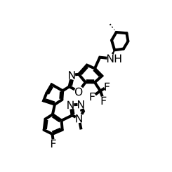 C[C@@H]1CCC[C@@H](NCc2cc(C(F)(F)F)c3oc(-c4cccc(-c5ccc(F)cc5-c5nncn5C)c4)nc3c2)C1